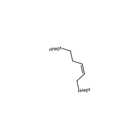 [CH]CCCCCCCC/C=C\CCCCCCCC